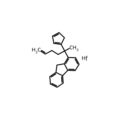 C=CCCC(C)(C1=CC=CC1)c1cccc2c1Cc1ccccc1-2.[Hf]